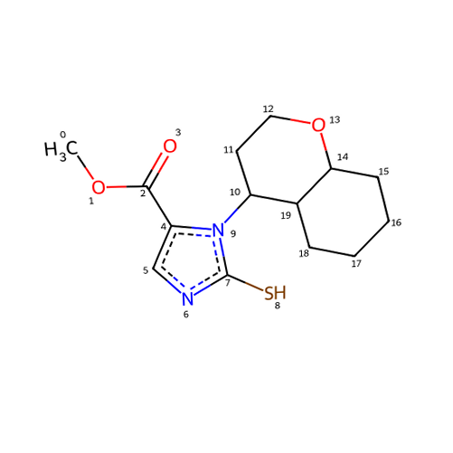 COC(=O)c1cnc(S)n1C1CCOC2CCCCC21